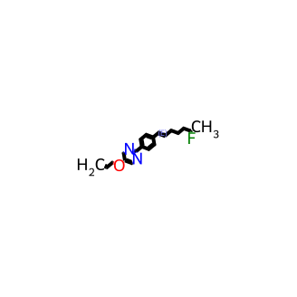 C=CCOc1cnc(-c2ccc(/C=C/CCCC(C)F)cc2)nc1